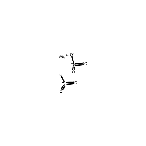 [Mg+2].[O]=[Ta](=[O])[O-].[O]=[Ta](=[O])[O-]